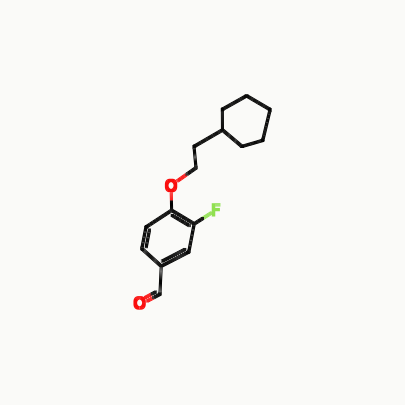 O=Cc1ccc(OCCC2CCCCC2)c(F)c1